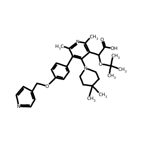 Cc1nc(C)c(C(OC(C)(C)C)C(=O)O)c(N2CCC(C)(C)CC2)c1-c1ccc(OCc2ccncc2)cc1